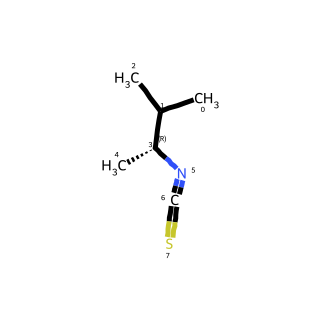 CC(C)[C@@H](C)N=C=S